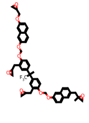 CC1(Cc2ccc3cc(OCOc4ccc(C(C)(c5ccc(OCOc6ccc7ccc(OCC8CO8)cc7c6)c(CC6CO6)c5)C(F)(F)F)cc4CC4CO4)ccc3c2)CO1